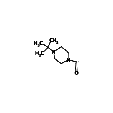 CC(C)(C)N1CCN([C]=O)CC1